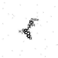 COc1ccc(NC(=O)CCC[C@@H]2CC(=O)[C@@]3(C)CCC4c5ccc(Cl)cc5CCC4C23)nn1